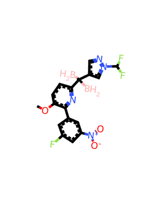 BC(B)(c1cnn(C(F)F)c1)c1ccc(OC)c(-c2cc(F)cc([N+](=O)[O-])c2)n1